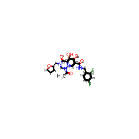 CC(=O)N1CN(C[C@H]2CCCO2)C(=O)c2c(O)c(=O)c(C(=O)NCc3ccc(F)cc3F)cn21